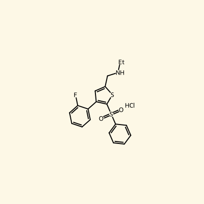 CCNCc1cc(-c2ccccc2F)c(S(=O)(=O)c2ccccc2)s1.Cl